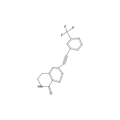 O=C1NCCc2cc(C#Cc3cccc(C(F)(F)F)c3)ccc21